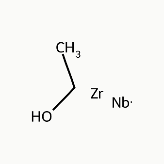 CCO.[Nb].[Zr]